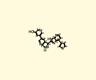 Oc1cncc(-c2cnc3[nH]nc(-c4nc5c(-c6ccsc6)ccnc5[nH]4)c3c2)c1